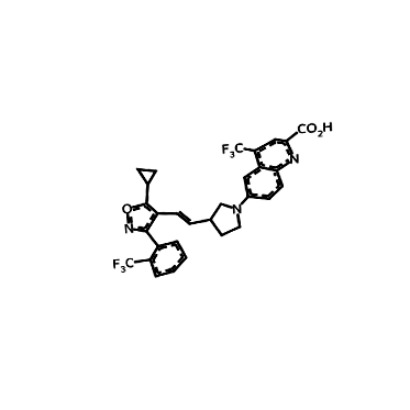 O=C(O)c1cc(C(F)(F)F)c2cc(N3CCC(C=Cc4c(-c5ccccc5C(F)(F)F)noc4C4CC4)C3)ccc2n1